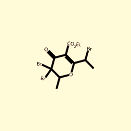 CCOC(=O)C1=C(C(C)Br)OC(C)C(Br)(Br)C1=O